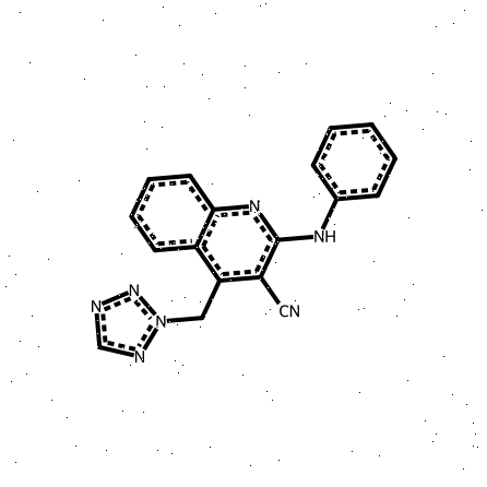 N#Cc1c(Nc2ccccc2)nc2ccccc2c1Cn1ncnn1